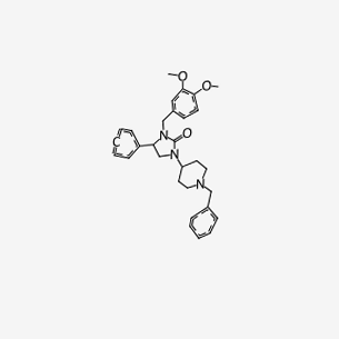 COc1ccc(CN2C(=O)N(C3CCN(Cc4ccccc4)CC3)CC2c2ccccc2)cc1OC